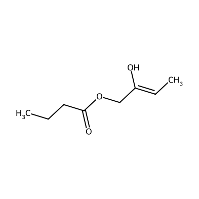 CC=C(O)COC(=O)CCC